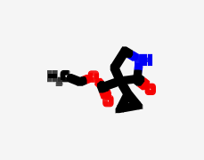 CCOC(=O)C1(C2CC2)CCNC1=O